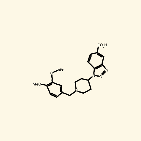 CCCOc1cc(CN2CCC(n3nnc4cc(C(=O)O)ccc43)CC2)ccc1OC